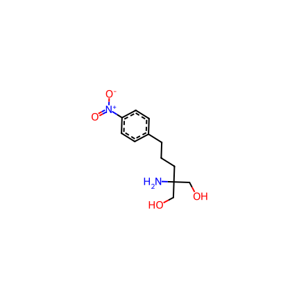 NC(CO)(CO)CCCc1ccc([N+](=O)[O-])cc1